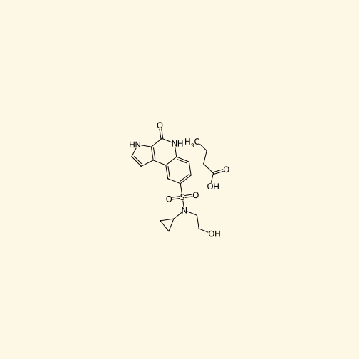 CCCC(=O)O.O=c1[nH]c2ccc(S(=O)(=O)N(CCO)C3CC3)cc2c2cc[nH]c12